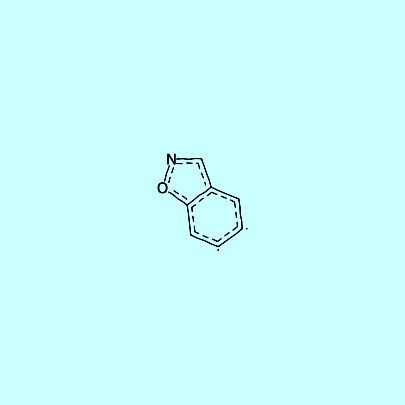 [c]1[c]cc2oncc2c1